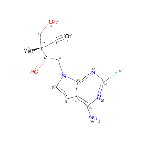 C#C[C@](CO)(OC)[C@@H](O)Cn1ccc2c(N)nc(F)nc21